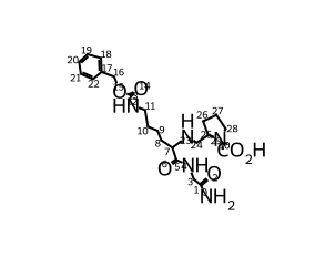 NC(=O)CNC(=O)C(CCCCNC(=O)OCc1ccccc1)NCC1CCCN1C(=O)O